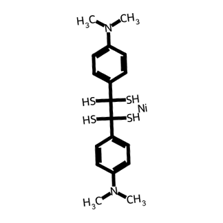 CN(C)c1ccc(C(S)(S)C(S)(S)c2ccc(N(C)C)cc2)cc1.[Ni]